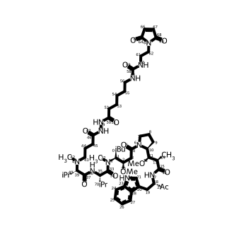 CC[C@H](C)[C@@H]([C@@H](CC(=O)N1CCC[C@H]1[C@H](OC)[C@@H](C)C(=O)N[C@@H](Cc1c[nH]c2ccccc12)C(C)=O)OC)N(C)C(=O)[C@@H](NC(=O)[C@H](C(C)C)N(C)CCCC(=O)NNC(=O)CCCCCNC(=O)NCCN1C(=O)C=CC1=O)C(C)C